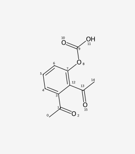 CC(=O)c1cccc(OC(=O)O)c1C(C)=O